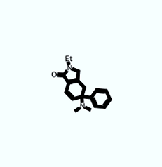 CCN1CC2=C(C=CC(c3ccccc3)(N(C)C)C2)C1=O